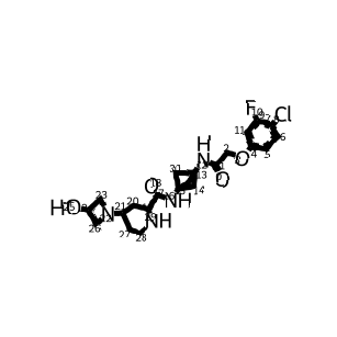 O=C(COc1ccc(Cl)c(F)c1)NC12CC(NC(=O)C3CC(N4CC(O)C4)CCN3)(C1)C2